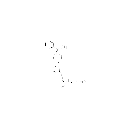 CC(=O)Nc1nc2c(Oc3cc(N4CCN(C(C)c5ccc(Br)cc5)CC4)ncn3)cccc2s1